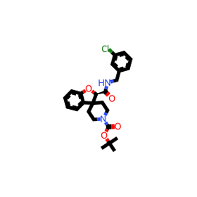 CC(C)(C)OC(=O)N1CCC2(CC1)c1ccccc1O[C@H]2C(=O)NCc1cccc(Cl)c1